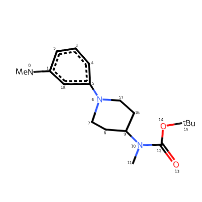 CNc1cccc(N2CCC(N(C)C(=O)OC(C)(C)C)CC2)c1